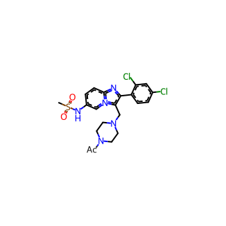 CC(=O)N1CCN(Cc2c(-c3ccc(Cl)cc3Cl)nc3ccc(NS(C)(=O)=O)cn23)CC1